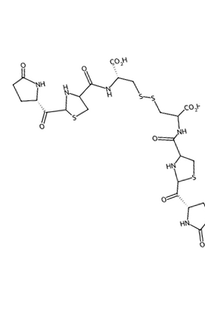 O=C1CC[C@@H](C(=O)C2NC(C(=O)NC(CSSC[C@H](NC(=O)C3CSC(C(=O)[C@@H]4CCC(=O)N4)N3)C(=O)O)C(=O)O)CS2)N1